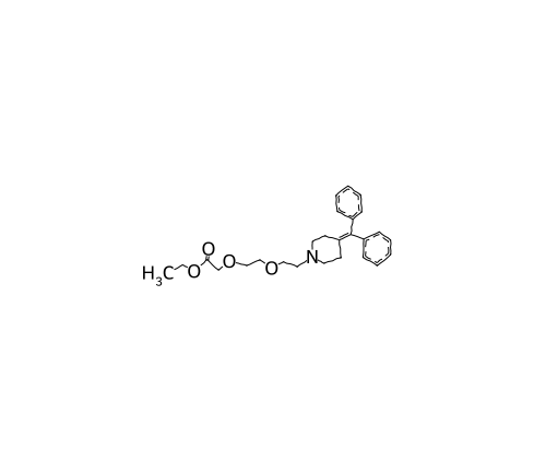 CCOC(=O)COCCOCCN1CCC(=C(c2ccccc2)c2ccccc2)CC1